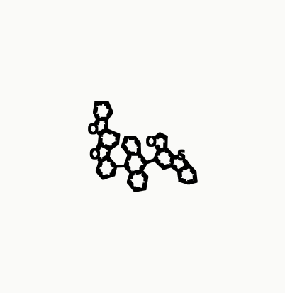 c1ccc2c(c1)oc1c2ccc2c1oc1cccc(-c3c4ccccc4c(-c4cc5c6ccccc6sc5c5ccoc45)c4ccccc34)c12